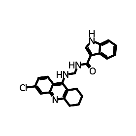 O=C(NCNc1c2c(nc3cc(Cl)ccc13)CCCC2)c1c[nH]c2ccccc12